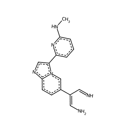 CNc1cccc(-c2cnc3ccc(/C(C=N)=C/N)cn23)n1